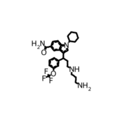 NCCCNCCC(c1cccc(OC(F)(F)F)c1)c1cn(C2CCCCC2)c2ccc(C(N)=O)cc12